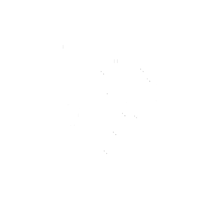 CC1=NN(c2cc(C=O)cc(NC3CCC(F)(F)CC3)n2)C12CC(/C(C)=N\N)CC1(C=C(C(F)F)C=C1NC1CCC(F)(F)CC1)C2